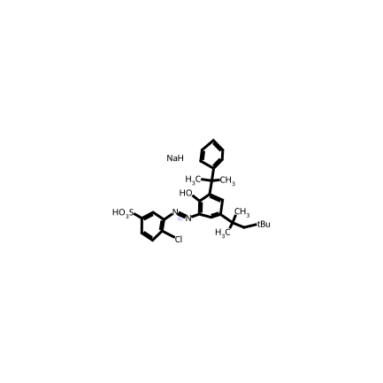 CC(C)(C)CC(C)(C)c1cc(/N=N/c2cc(S(=O)(=O)O)ccc2Cl)c(O)c(C(C)(C)c2ccccc2)c1.[NaH]